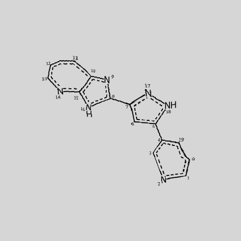 c1cncc(-c2cc(-c3nc4cccnc4[nH]3)n[nH]2)c1